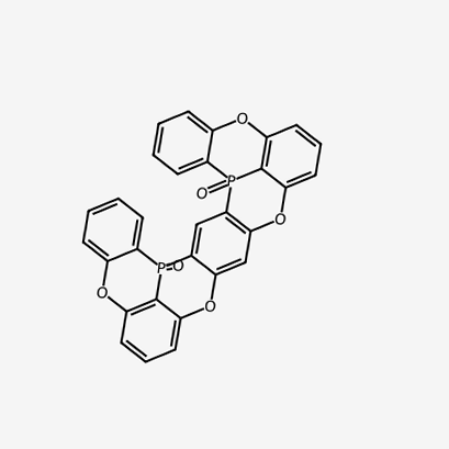 O=P12c3ccccc3Oc3cccc(c31)Oc1cc3c(cc12)P1(=O)c2ccccc2Oc2cccc(c21)O3